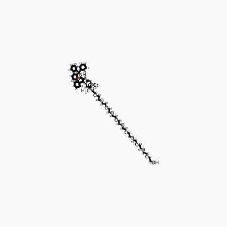 CCOCc1nc2c(NC(c3ccccc3)(c3ccccc3)c3ccccc3)nc3ccccc3c2n1CC(C)(C)OCCOCCOCCOCCOCCOCCOCCOCCOCCOCCOCCOCCO